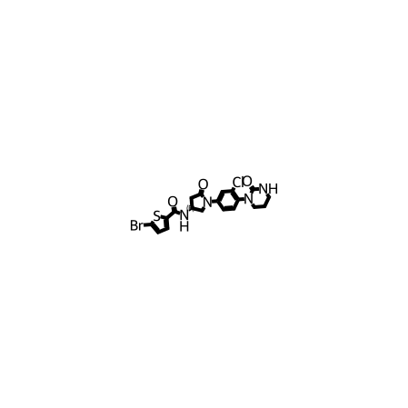 O=C(N[C@@H]1CC(=O)N(c2ccc(N3CCCNC3=O)c(Cl)c2)C1)c1ccc(Br)s1